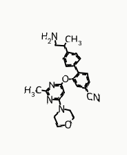 Cc1nc(Oc2cc(C#N)ccc2-c2ccc(C(C)CN)cc2)cc(N2CCOCC2)n1